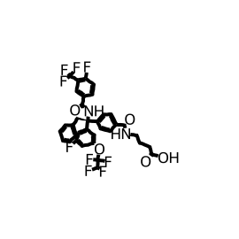 O=C(O)CCCNC(=O)c1ccc([C@@](Cc2ccccc2)(NC(=O)c2ccc(F)c(C(F)(F)F)c2)c2cc(F)cc(OC(F)(F)C(F)F)c2)cc1